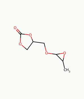 CC1OC1OCC1COC(=O)O1